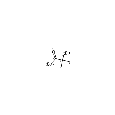 CC(C)(C)C(=O)C(C)(C)C(C)(C)C